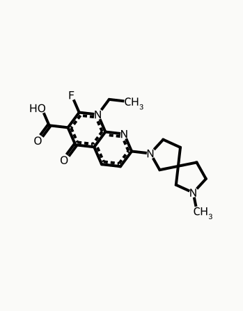 CCn1c(F)c(C(=O)O)c(=O)c2ccc(N3CCC4(CCN(C)C4)C3)nc21